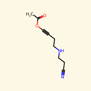 CC(=O)OC#CCCNCCC#N